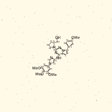 COc1ccc(-c2ccc3c(Nc4cn(-c5cc(OC)c(OC)c(OC)c5)cn4)nc(N4CCC[C@H]4CO)nn23)cc1